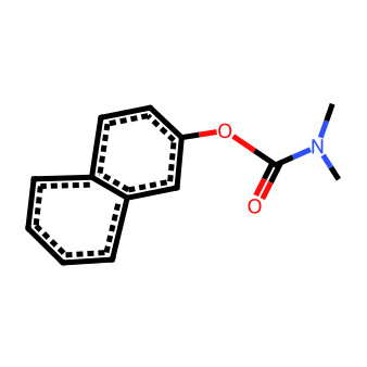 CN(C)C(=O)Oc1ccc2ccccc2c1